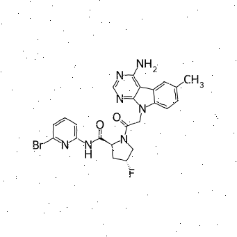 Cc1ccc2c(c1)c1c(N)ncnc1n2CC(=O)N1C[C@H](F)C[C@H]1C(=O)Nc1cccc(Br)n1